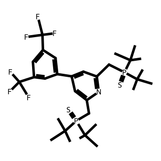 CC(C)(C)P(=S)(Cc1cc(-c2cc(C(F)(F)F)cc(C(F)(F)F)c2)cc(CP(=S)(C(C)(C)C)C(C)(C)C)n1)C(C)(C)C